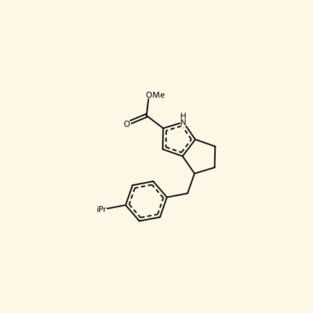 COC(=O)c1cc2c([nH]1)CCC2Cc1ccc(C(C)C)cc1